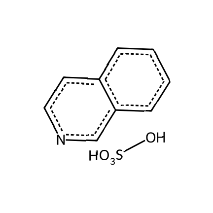 O=S(=O)(O)O.c1ccc2cnccc2c1